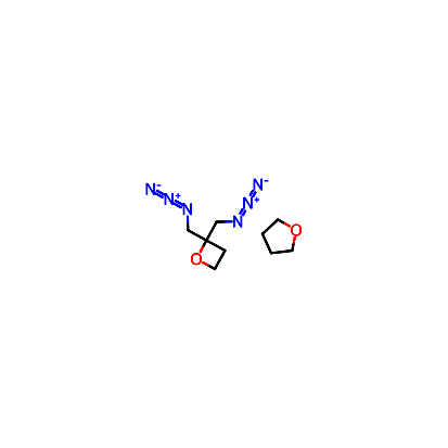 C1CCOC1.[N-]=[N+]=NCC1(CN=[N+]=[N-])CCO1